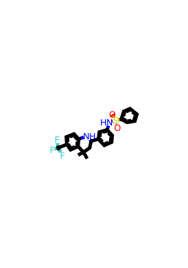 CC1(C)CC(c2cccc(NS(=O)(=O)c3ccccc3)c2)Nc2ccc(C(F)(F)F)cc21